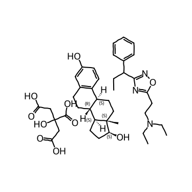 CCC(c1ccccc1)c1noc(CCN(CC)CC)n1.C[C@]12CC[C@@H]3c4ccc(O)cc4CC[C@H]3[C@@H]1CC[C@@H]2O.O=C(O)CC(O)(CC(=O)O)C(=O)O